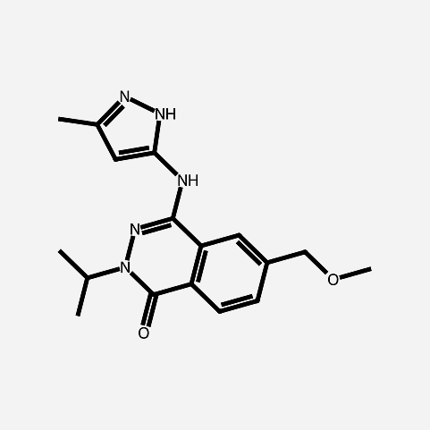 COCc1ccc2c(=O)n(C(C)C)nc(Nc3cc(C)n[nH]3)c2c1